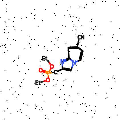 CCOP(=O)(Cc1cn2ccc(C#N)cc2n1)OCC